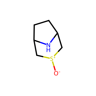 [O-][S+]1CC2CCC(C1)N2